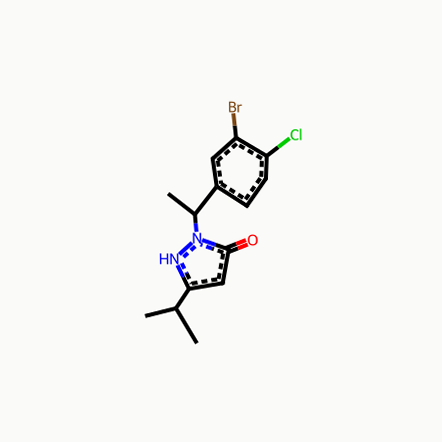 CC(C)c1cc(=O)n(C(C)c2ccc(Cl)c(Br)c2)[nH]1